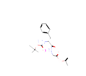 C=C(C)OC(=O)[C@H](C)NC(=O)[C@H](Cc1ccccc1)NC(=O)OC(C)(C)C